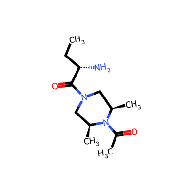 CC[C@H](N)C(=O)N1C[C@@H](C)N(C(C)=O)[C@@H](C)C1